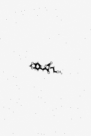 CCCN1C(=O)S/C(=C\c2ccc3c(c2)OCO3)C1=O